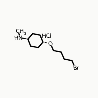 CN[C@H]1CC[C@H](OCCCCBr)CC1.Cl